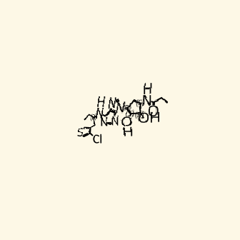 CCC(=O)N[C@H]1C[C@@H](n2cnc3c(N[C@H](CC)Cc4cscc4Cl)ncnc32)[C@H](O)[C@@H]1O